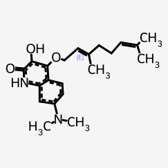 CC(C)=CCC/C(C)=C/COc1c(O)c(=O)[nH]c2cc(N(C)C)ccc12